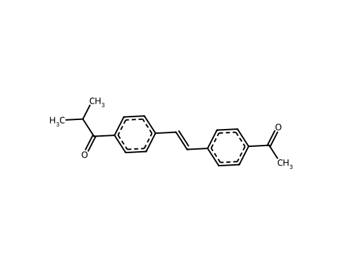 CC(=O)c1ccc(/C=C/c2ccc(C(=O)C(C)C)cc2)cc1